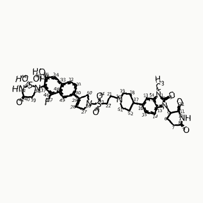 Cn1c(=O)n(C2CCC(=O)NC2=O)c2ccc(C3CCN(CCS(=O)(=O)N4CC=C(c5ccc6cc(O)c(N7CC(=O)NS7(O)O)c(F)c6c5)C4)CC3)cc21